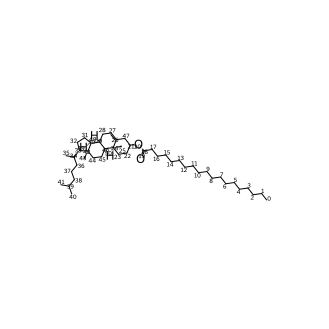 CCCCCCCCCCCCCCCCCCC(=O)O[C@H]1CC[C@@]2(C)C(=CC[C@H]3[C@@H]4CC[C@H](C(C)CCCC(C)C)[C@@]4(C)CC[C@@H]32)C1